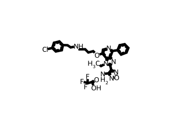 CCn1c(-c2nonc2N)nc2c(-c3ccccc3)ncc(OCCCCNCCc3ccc(Cl)cc3)c21.O=C(O)C(F)(F)F